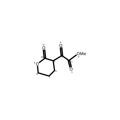 COC(=O)C(=O)C1CCCOC1=O